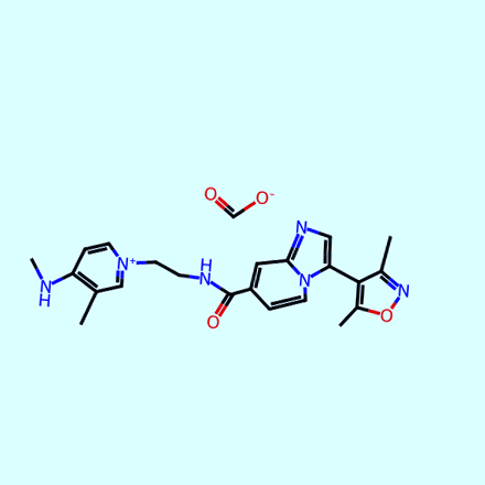 CNc1cc[n+](CCNC(=O)c2ccn3c(-c4c(C)noc4C)cnc3c2)cc1C.O=C[O-]